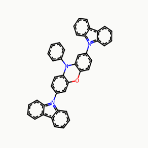 c1ccc(N2c3ccc(-n4c5ccccc5c5ccccc54)cc3Oc3ccc(-n4c5ccccc5c5ccccc54)cc32)cc1